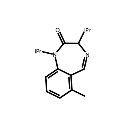 Cc1cccc2c1C=NC(C(C)C)C(=O)N2C(C)C